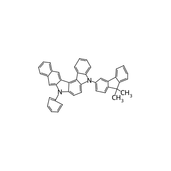 CC1(C)c2ccccc2-c2cc(-n3c4ccccc4c4c5c6cc7ccccc7cc6n(-c6ccccc6)c5ccc43)ccc21